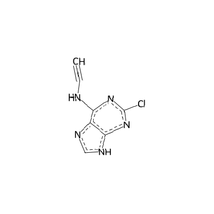 C#CNc1nc(Cl)nc2[nH]cnc12